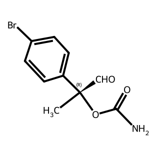 C[C@@](C=O)(OC(N)=O)c1ccc(Br)cc1